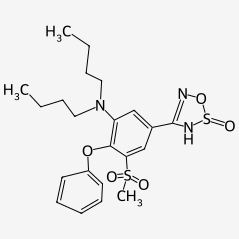 CCCCN(CCCC)c1cc(C2=NOS(=O)N2)cc(S(C)(=O)=O)c1Oc1ccccc1